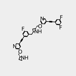 Fc1cc(F)cc(C#Cc2cncc(OC[C@@H]3CC(Cc4cc(F)cc(C#Cc5cncc(OC[C@@H]6CCN6)c5)c4)N3)c2)c1